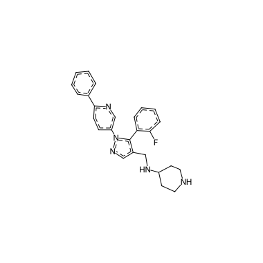 Fc1ccccc1-c1c(CNC2CCNCC2)cnn1-c1ccc(-c2ccccc2)nc1